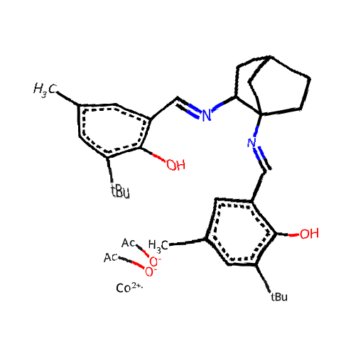 CC(=O)[O-].CC(=O)[O-].Cc1cc(C=NC2CC3CCC2(N=Cc2cc(C)cc(C(C)(C)C)c2O)C3)c(O)c(C(C)(C)C)c1.[Co+2]